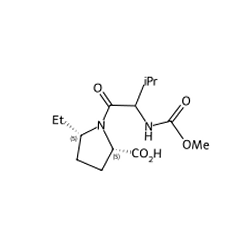 CC[C@H]1CC[C@@H](C(=O)O)N1C(=O)C(NC(=O)OC)C(C)C